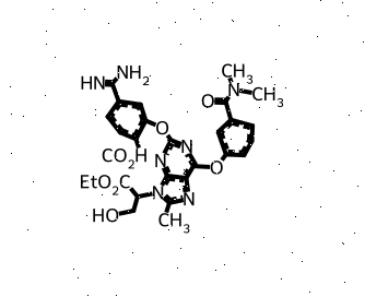 CCOC(=O)C(CO)n1c(C)nc2c(Oc3cccc(C(=O)N(C)C)c3)nc(Oc3cc(C(=N)N)ccc3C(=O)O)nc21